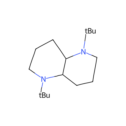 CC(C)(C)N1CCCC2C1CCCN2C(C)(C)C